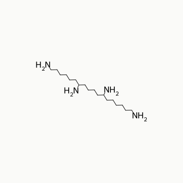 NCCCCCCC(N)CCCCC(N)CCCCCCN